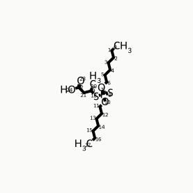 CCCCCCCOP(=S)(OCCCCCCC)SC(C)CC(=O)O